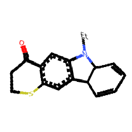 CCN1c2cc3c(cc2C2C=CC=CC21)SCCC3=O